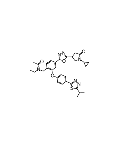 CCN(Cc1ccc(-c2nnc(C3CC(=O)N(C4CC4)C3)o2)cc1Oc1ccc(-c2nnc(C(C)C)s2)cc1)C(C)=O